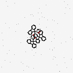 c1ccc(C2(c3cccc(C4(c5cccc(C6(n7ccnc7)c7ccccc7-c7ccccc76)c5)c5ccccc5-c5ccccc54)c3)c3ccccc3-c3ccccc32)nc1